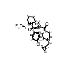 O=C(OC[C@H]1CCC[C@@H](CC(F)(F)F)N1S(=O)(=O)c1ccc(Cl)cc1)N1CCN(CC2CC2)CC1